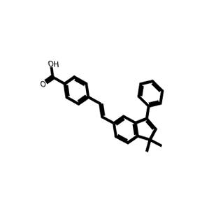 CC1(C)C=C(c2ccccc2)c2cc(C=Cc3ccc(C(=O)O)cc3)ccc21